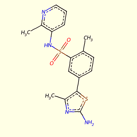 Cc1ccc(-c2sc(N)nc2C)cc1S(=O)(=O)Nc1cccnc1C